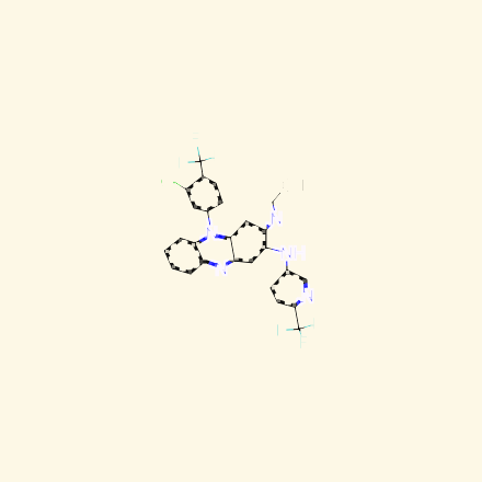 CCN=c1cc2n(-c3ccc(C(F)(F)F)c(Cl)c3)c3ccccc3nc-2cc1Nc1ccc(C(F)(F)F)nc1